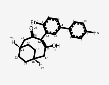 CCc1ccc(-c2ccc(F)cc2)cc1/C1=C(\O)C[C@H]2CC[C@H](CC2)CC1=O